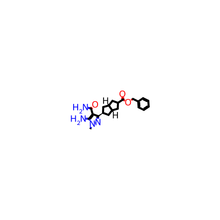 Cn1nc([C@H]2C[C@H]3CC(C(=O)OCc4ccccc4)C[C@H]3C2)c(C(N)=O)c1N